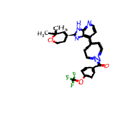 CC1(C)C[C@@H](c2nc3c(C4CCN(C(=O)c5ccc(OC(F)(F)F)cc5)CC4)ccnc3[nH]2)CCO1